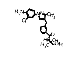 Cc1nn(-c2ccc(N)c(Cl)c2)cc1Cc1cccc(C(=O)NC(C)(C)CO)c1